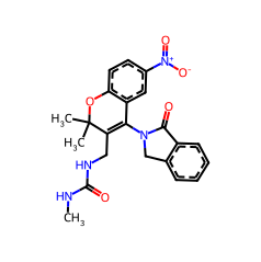 CNC(=O)NCC1=C(N2Cc3ccccc3C2=O)c2cc([N+](=O)[O-])ccc2OC1(C)C